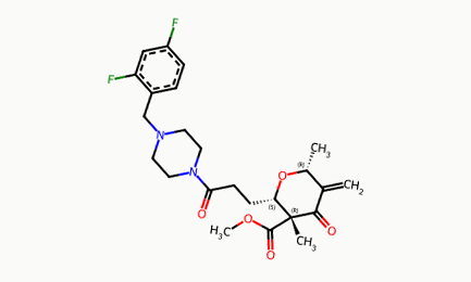 C=C1C(=O)[C@](C)(C(=O)OC)[C@H](CCC(=O)N2CCN(Cc3ccc(F)cc3F)CC2)O[C@@H]1C